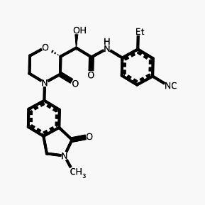 [C-]#[N+]c1ccc(NC(=O)[C@H](O)[C@H]2OCCN(c3ccc4c(c3)C(=O)N(C)C4)C2=O)c(CC)c1